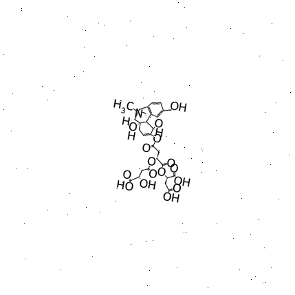 CN1CC[C@]23c4c5ccc(CO)c4O[C@H]2C(OC(=O)C[C@H](OC(=O)C[C@H](O)C(=O)O)C(=O)O[C@H](CC(=O)O)C(=O)O)=CC[C@@]3(O)[C@H]1C5